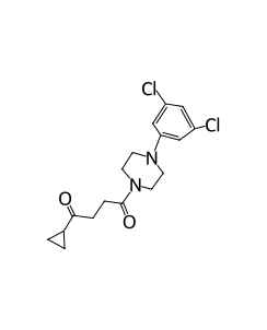 O=C(CCC(=O)N1CCN(c2cc(Cl)cc(Cl)c2)CC1)C1CC1